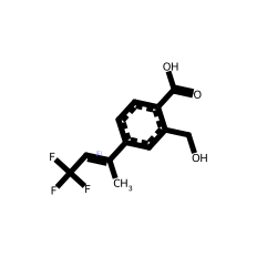 C/C(=C\C(F)(F)F)c1ccc(C(=O)O)c(CO)c1